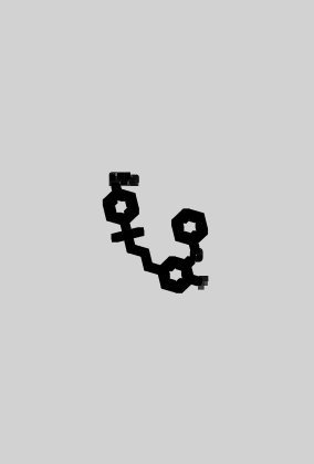 CSc1ccc(C(C)(C)CCCc2ccc(F)c(Oc3ccccc3)c2)cc1